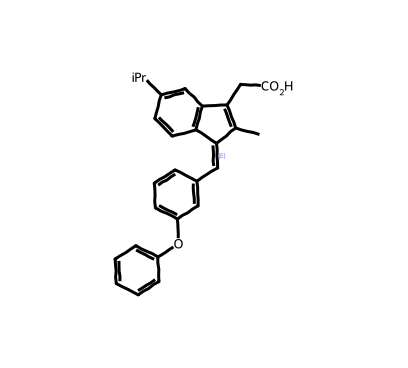 CC1=C(CC(=O)O)c2cc(C(C)C)ccc2/C1=C\c1cccc(Oc2ccccc2)c1